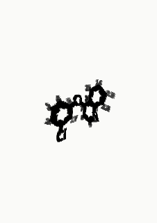 Clc1cccc(Oc2ccnc3ccccc23)c1